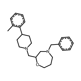 Cc1ccccc1C1CCN(CC2CN(Cc3ccccc3)CCCO2)CC1